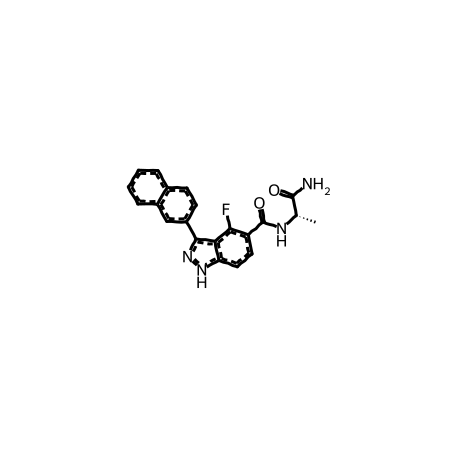 C[C@H](NC(=O)c1ccc2[nH]nc(-c3ccc4ccccc4c3)c2c1F)C(N)=O